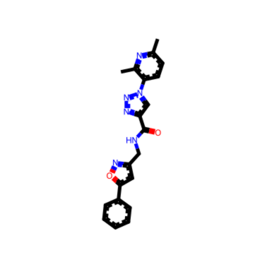 Cc1ccc(-n2cc(C(=O)NCc3cc(-c4ccccc4)on3)nn2)c(C)n1